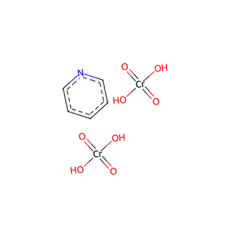 [O]=[Cr](=[O])([OH])[OH].[O]=[Cr](=[O])([OH])[OH].c1ccncc1